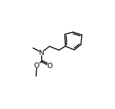 COC(=O)N(C)CCc1ccccc1